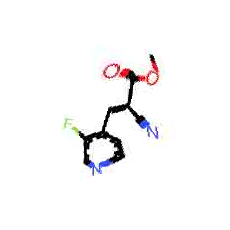 COC(=O)/C(C#N)=C/c1ccncc1F